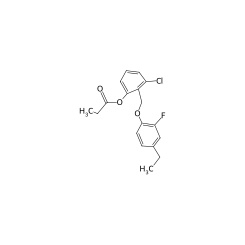 CCC(=O)Oc1cccc(Cl)c1COc1ccc(CC)cc1F